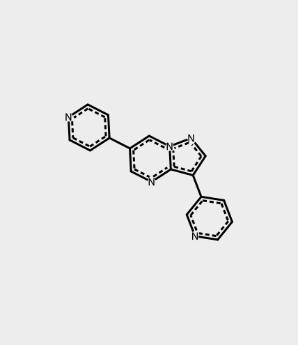 c1cncc(-c2cnn3cc(-c4ccncc4)cnc23)c1